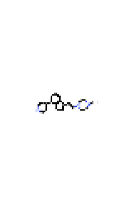 CN1CCN(CCC2=CCc3c2cccc3-c2ccncc2)CC1